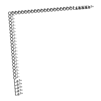 [La+3].[La+3].[La+3].[La+3].[La+3].[La+3].[La+3].[La+3].[La+3].[La+3].[O-2].[O-2].[O-2].[O-2].[O-2].[O-2].[O-2].[O-2].[O-2].[O-2].[O-2].[O-2].[O-2].[O-2].[O-2].[O-2].[O-2].[O-2].[O-2].[O-2].[O-2].[O-2].[O-2].[O-2].[O-2].[O-2].[O-2].[O-2].[O-2].[O-2].[O-2].[O-2].[O-2].[O-2].[O-2].[O-2].[O-2].[O-2].[O-2].[O-2]